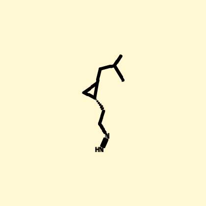 CC(C)CC1C[C@H]1CCN=N